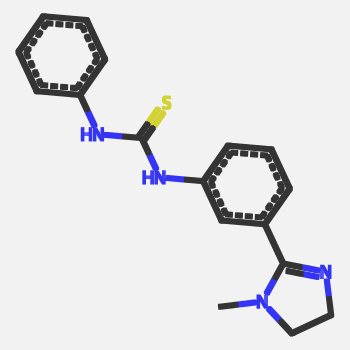 CN1CCN=C1c1cccc(NC(=S)Nc2ccccc2)c1